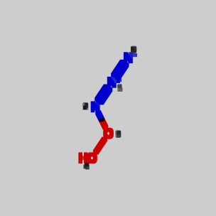 [N-]=[N+]=NOO